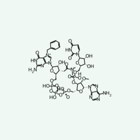 CO[C@@H]1[C@H](OP(=O)(O)OC[C@H]2O[C@@H](n3ccc(=O)[nH]c3=O)[C@H](O)[C@@H]2O)[C@@H](COP(=O)(O)OP(=O)(O)OP(=O)(O)OC[C@H]2O[C@@H](n3c[n+](Cc4ccccc4)c4c(=O)[nH]c(N)nc43)[C@H](O)[C@@H]2CC(=O)N(C)C)O[C@H]1n1cnc2c(N)ncnc21